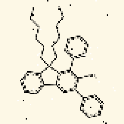 CCCCCCC1(CCCCCC)c2ccccc2-c2cc(-c3ccccc3)c(N)c(-c3ccccc3)c21